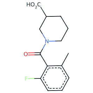 Cc1cccc(F)c1C(=O)N1CCCC(C(=O)O)C1